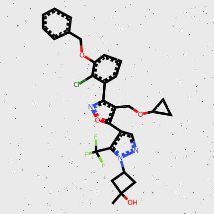 CC1(O)CC(n2ncc(-c3onc(-c4cccc(OCc5ccccc5)c4Cl)c3COC3CC3)c2C(F)(F)F)C1